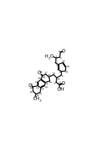 CC(CC=O)CC1=CC(CC(CC(=O)O)CC2CC(=O)c3cc4c(cc3C2)CC(C)CC4=O)CC=C1